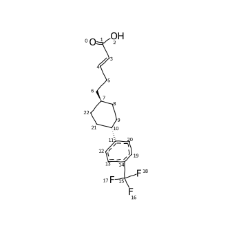 O=C(O)/C=C/CC[C@H]1CC[C@H](c2ccc(C(F)(F)F)cc2)CC1